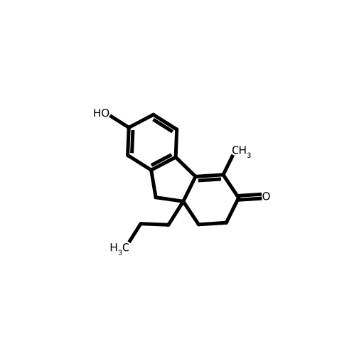 CCCC12CCC(=O)C(C)=C1c1ccc(O)cc1C2